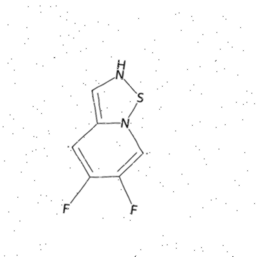 FC1=[C]C2=CNSN2[C]=C1F